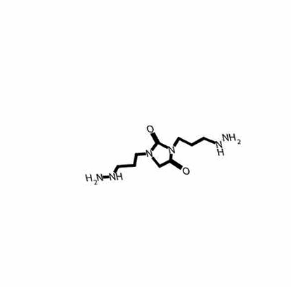 NNCCCN1CC(=O)N(CCCNN)C1=O